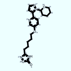 O=c1[nH]c(CCCCCOc2ccc(-c3ccnn3C3CCCCO3)nc2)no1